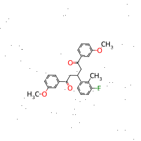 COc1cccc(C(=O)CC(CC(=O)c2cccc(OC)c2)c2cccc(F)c2C)c1